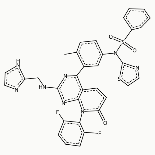 Cc1ccc(N(c2nccs2)S(=O)(=O)c2ccccc2)cc1-c1nc(NCc2ncc[nH]2)nc2c1ccc(=O)n2-c1c(F)cccc1F